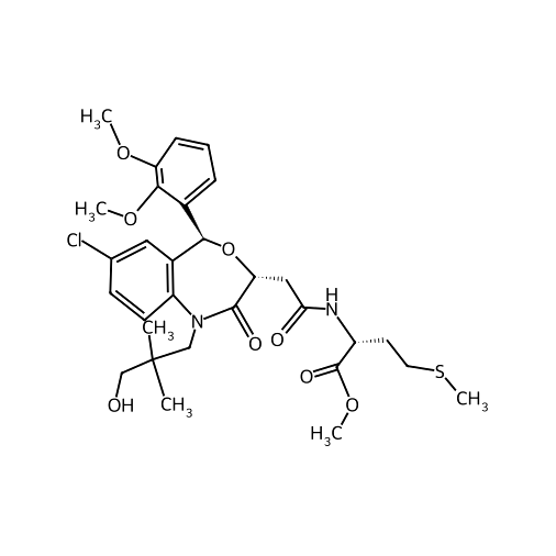 COC(=O)[C@@H](CCSC)NC(=O)C[C@H]1O[C@H](c2cccc(OC)c2OC)c2cc(Cl)ccc2N(CC(C)(C)CO)C1=O